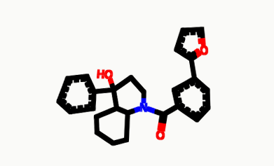 O=C(c1cccc(-c2ccco2)c1)N1CCC(O)(c2ccccc2)C2CCCCC21